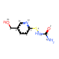 NC(=O)NSc1ccc(CO)cn1